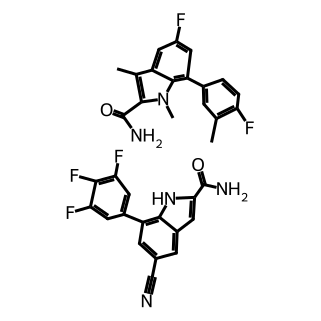 Cc1cc(-c2cc(F)cc3c(C)c(C(N)=O)n(C)c23)ccc1F.N#Cc1cc(-c2cc(F)c(F)c(F)c2)c2[nH]c(C(N)=O)cc2c1